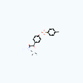 Cc1ccc(S(=O)(=O)Oc2ccc(C(O[Si](C)(C)C)C(N)=O)cc2)cc1